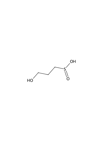 O=S(O)CCCO